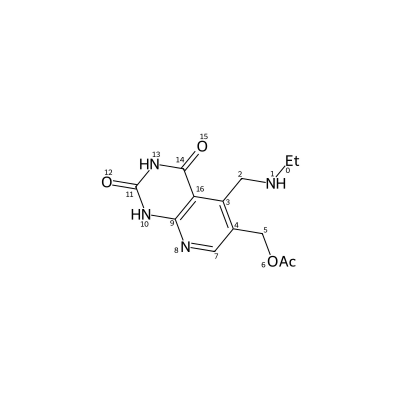 CCNCc1c(COC(C)=O)cnc2[nH]c(=O)[nH]c(=O)c12